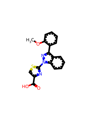 COc1ccccc1-c1nn(-c2nc(C(=O)O)cs2)c2ccccc12